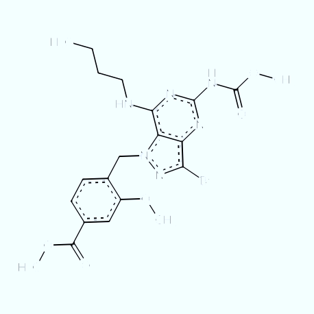 CCCCNc1nc(NC(=O)OC)nc2c(Br)nn(Cc3ccc(C(=O)OC)cc3OC)c12